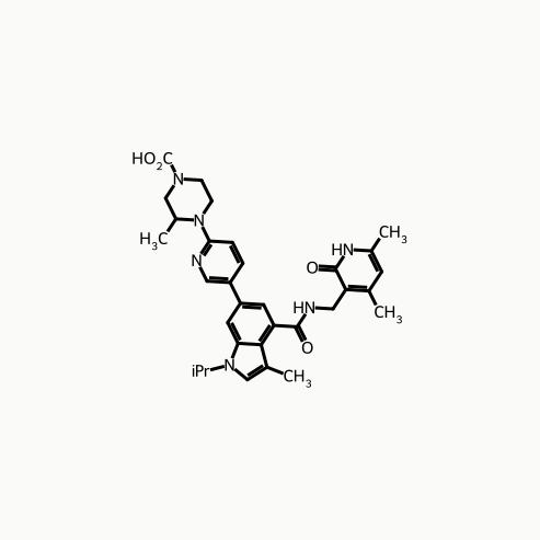 Cc1cc(C)c(CNC(=O)c2cc(-c3ccc(N4CCN(C(=O)O)CC4C)nc3)cc3c2c(C)cn3C(C)C)c(=O)[nH]1